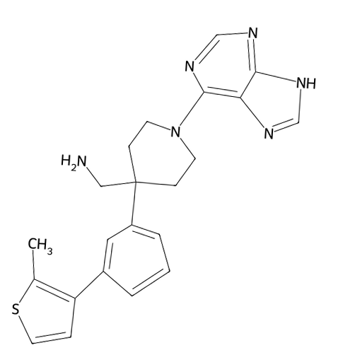 Cc1sccc1-c1cccc(C2(CN)CCN(c3ncnc4[nH]cnc34)CC2)c1